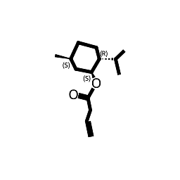 C=CCC(=O)O[C@H]1C[C@@H](C)CC[C@@H]1C(C)C